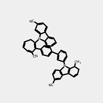 CC1CC=Cc2c1n(-c1cccc(-c3ccc(C4=C(n5c6ccccc6c6ccc(C#N)cc65)CC=CC=C4C#N)cc3)c1)c1ccc(C#N)cc21